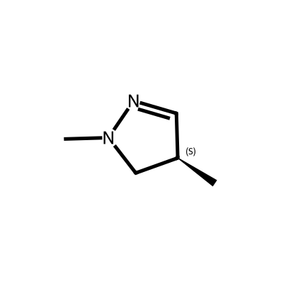 C[C@@H]1C=NN(C)C1